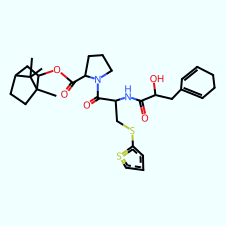 CC1(C)C2CCC1(C)C(OC(=O)C1CCCN1C(=O)C(CSc1cccs1)NC(=O)C(O)CC1=CCCC=C1)C2